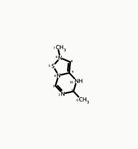 CC1N=CN2SN(C)C=C2N1